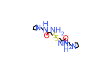 NC(CSSCC(N)C(=O)NCCN1CCCC1)C(=O)NCCN1CCCC1